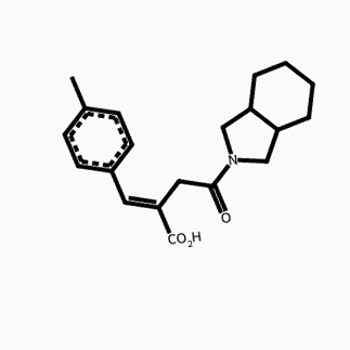 Cc1ccc(/C=C(\CC(=O)N2CC3CCCCC3C2)C(=O)O)cc1